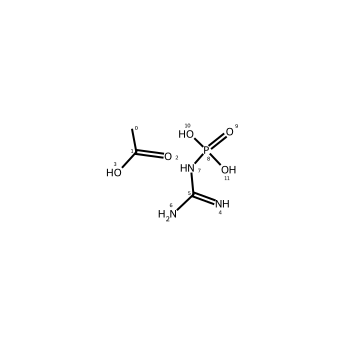 CC(=O)O.N=C(N)NP(=O)(O)O